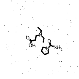 CCN(CC)CCC(=O)O.NC(=O)N1CCCC1